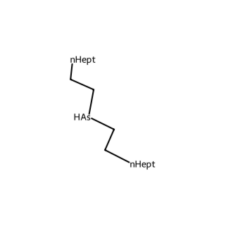 CCCCCCCCC[AsH]CCCCCCCCC